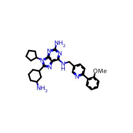 COc1ccccc1-c1ccc(CNc2nc(N)nc3c2nc(C2CCCC(N)C2)n3C2CCCC2)cn1